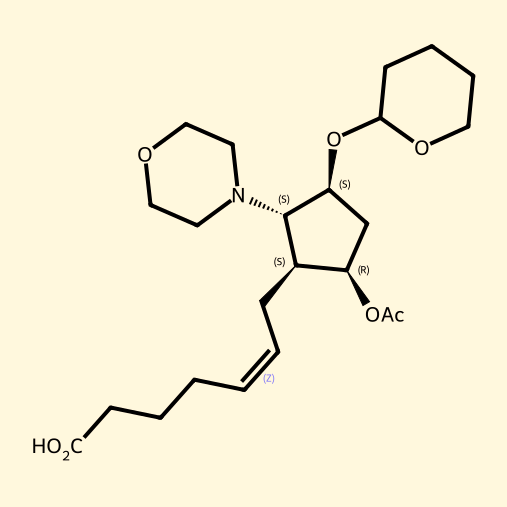 CC(=O)O[C@@H]1C[C@H](OC2CCCCO2)[C@@H](N2CCOCC2)[C@@H]1C/C=C\CCCC(=O)O